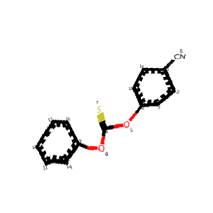 N#Cc1ccc(OC(=S)Oc2ccccc2)cc1